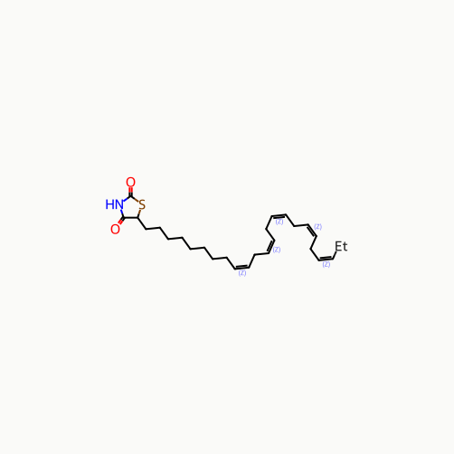 CC/C=C\C/C=C\C/C=C\C/C=C\C/C=C\CCCCCCCCC1SC(=O)NC1=O